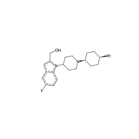 CC(C)[C@H]1CC[C@@H](N2CCC(n3c(CO)cc4cc(F)ccc43)CC2)CC1